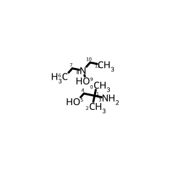 CC(C)(N)CO.CCN(O)CC